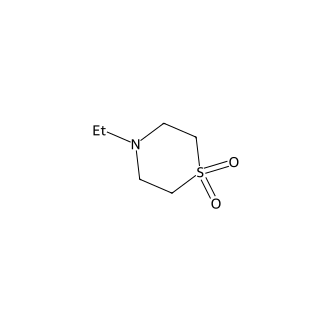 CCN1CCS(=O)(=O)CC1